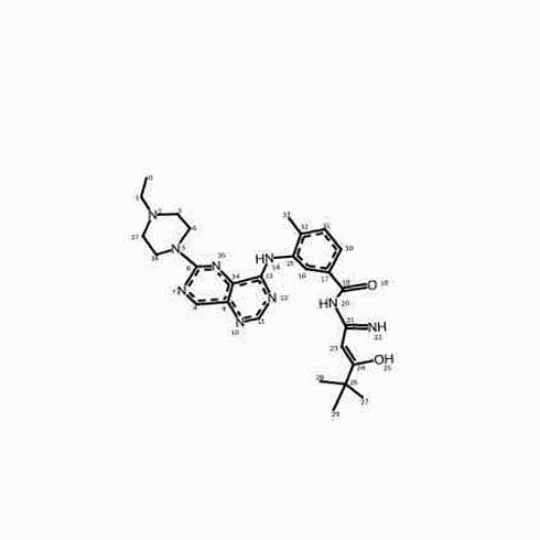 CCN1CCN(c2ncc3ncnc(Nc4cc(C(=O)NC(=N)/C=C(\O)C(C)(C)C)ccc4C)c3n2)CC1